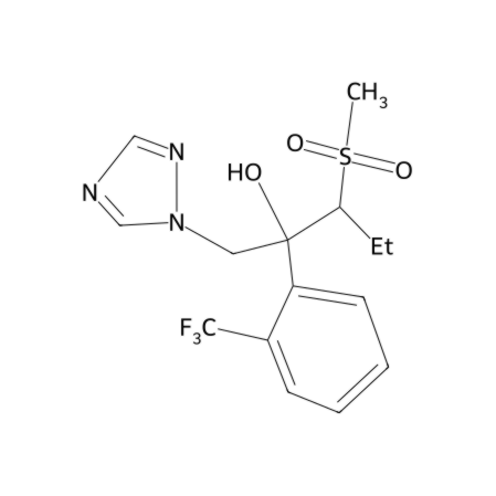 CCC(C(O)(Cn1cncn1)c1ccccc1C(F)(F)F)S(C)(=O)=O